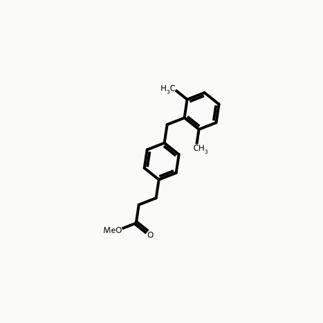 COC(=O)CCc1ccc(Cc2c(C)cccc2C)cc1